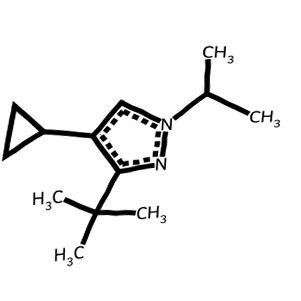 CC(C)n1cc(C2CC2)c(C(C)(C)C)n1